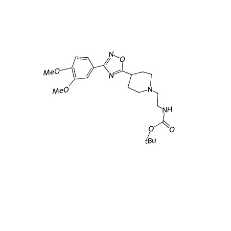 COc1ccc(-c2noc(C3CCN(CCNC(=O)OC(C)(C)C)CC3)n2)cc1OC